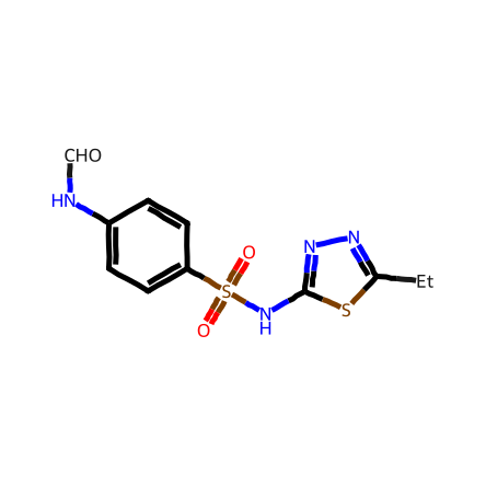 CCc1nnc(NS(=O)(=O)c2ccc(NC=O)cc2)s1